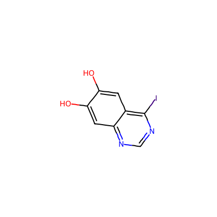 Oc1cc2ncnc(I)c2cc1O